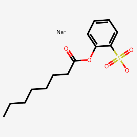 CCCCCCCC(=O)Oc1ccccc1S(=O)(=O)[O-].[Na+]